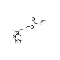 CC=CC(=O)OCCC[Si](C)(C)OCCC